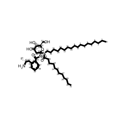 CCCCCCCCCCCCCCCCCCN(C(=O)CCCCCCCCCCC)[C@@]1(NC(=O)c2ccccc2C[C@@H](C)N)C[C@@H](O)[C@H](O)[C@@H](CO)O1